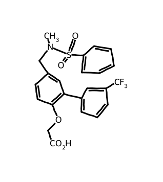 CN(Cc1ccc(OCC(=O)O)c(-c2cccc(C(F)(F)F)c2)c1)S(=O)(=O)c1ccccc1